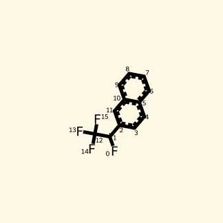 F[C](c1ccc2ccccc2c1)C(F)(F)F